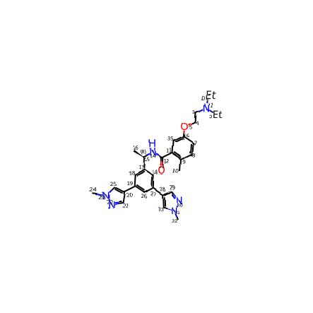 CCN(CC)CCOc1ccc(C)c(C(=O)N[C@H](C)c2cc(-c3cnn(C)c3)cc(-c3cnn(C)c3)c2)c1